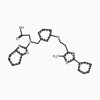 Cc1oc(-c2ccccc2)nc1CCOc1cccc(CN(CC(=O)O)c2nc3ccccc3o2)c1